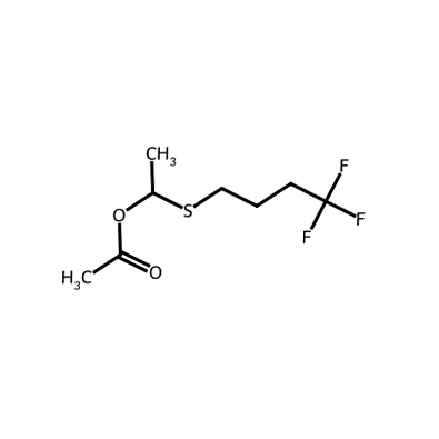 CC(=O)OC(C)SCCCC(F)(F)F